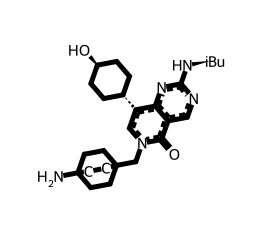 CC[C@H](C)Nc1ncc2c(=O)n(CC34CCC(N)(CC3)CC4)cc([C@H]3CC[C@H](O)CC3)c2n1